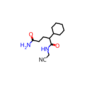 N#CCNC(=O)C(CCC(N)=O)C1CCCCC1